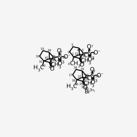 CC12CCC(C(S(=O)(=O)[O-])C1=O)C2(C)C.CC12CCC(C(S(=O)(=O)[O-])C1=O)C2(C)C.CC12CCC(C(S(=O)(=O)[O-])C1=O)C2(C)C.[Bi+3]